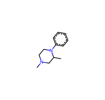 CC1CN(C)CCN1c1cc[c]cc1